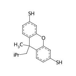 CC(C)CC1(C)c2ccc(S)cc2Oc2cc(S)ccc21